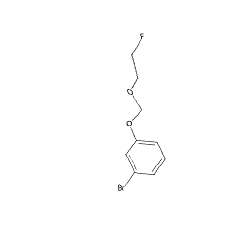 FCCOCOc1cccc(Br)c1